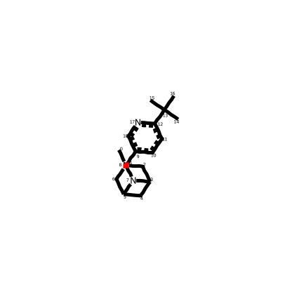 CN1CC2CC(C1)N2Cc1ccc(C(C)(C)C)nc1